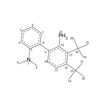 CN(C)c1ccccc1-c1ccc(C(C)(C)C)c(C(C)(C)C)c1P